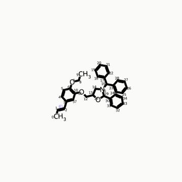 C/C=C/c1ccc(OCC)c(OCC2CN(C(c3ccccc3)c3ccccc3)C(c3ccccc3)O2)c1